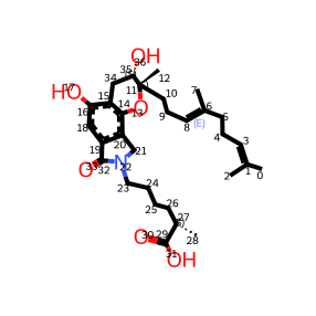 CC(C)=CCC/C(C)=C/CC[C@]1(C)Oc2c(c(O)cc3c2CN(CCCC[C@H](C)C(=O)O)C3=O)C[C@@H]1O